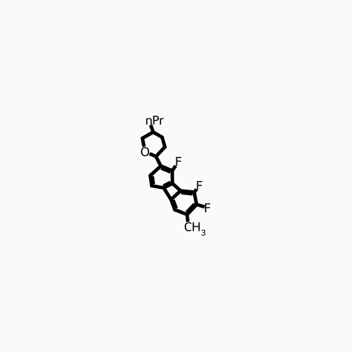 CCCC1CCC(c2ccc3c(c2F)-c2c-3cc(C)c(F)c2F)OC1